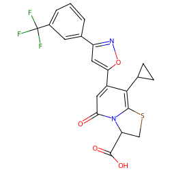 O=C(O)C1CSc2c(C3CC3)c(-c3cc(-c4cccc(C(F)(F)F)c4)no3)cc(=O)n21